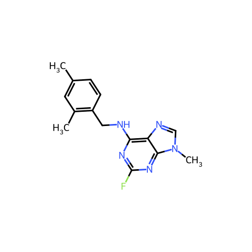 Cc1ccc(CNc2nc(F)nc3c2ncn3C)c(C)c1